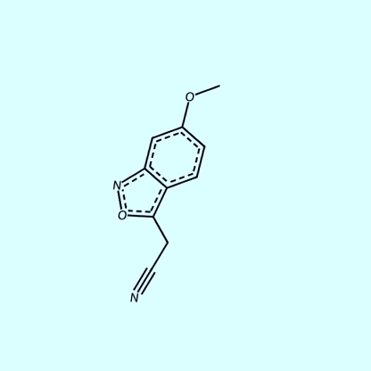 COc1ccc2c(CC#N)onc2c1